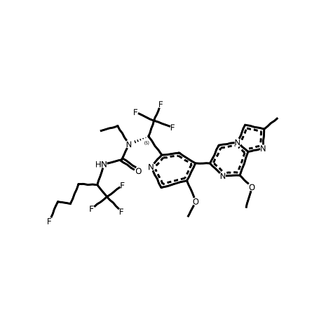 CCN(C(=O)NC(CCCF)C(F)(F)F)[C@@H](c1cc(-c2cn3cc(C)nc3c(OC)n2)c(OC)cn1)C(F)(F)F